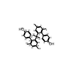 Cc1cc(C)c(-c2ccc(O)cc2)c(C(C)(C)c2cc(C)cc(C)c2-c2ccc(O)cc2)c1